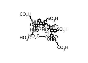 CCCN1/C(=C/C=C/C2=[N+](CCCS(=O)(=O)O)c3c(cc(-c4cc(C(=O)NCCCCCC(=O)O)nc(C(=O)NCCCCCC(=O)O)c4)c4ccccc34)C2(C)C)C(C)(C)c2cc(-c3cc(C(=O)NCCCCCC(=O)O)nc(C(=O)NCCCCCC(=O)O)c3)c3ccc(S(=O)(=O)O)cc3c21